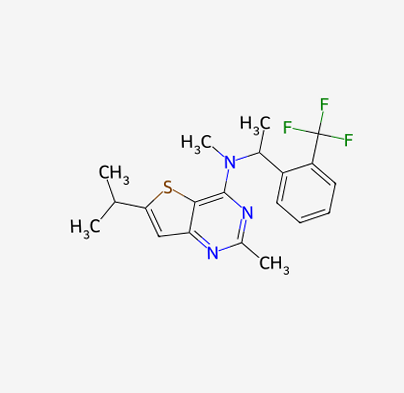 Cc1nc(N(C)C(C)c2ccccc2C(F)(F)F)c2sc(C(C)C)cc2n1